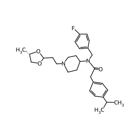 CC(C)c1ccc(CC(=O)N(Cc2ccc(F)cc2)C2CCN(CCC3OC[C@H](C)O3)CC2)cc1